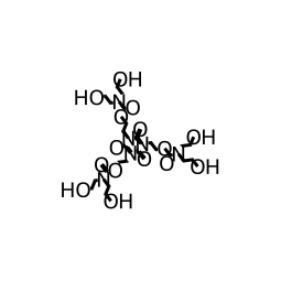 O=C(OCCn1c(=O)n(CCOC(=O)N(CCO)CCO)c(=O)n(CCOC(=O)N(CCO)CCO)c1=O)N(CCO)CCO